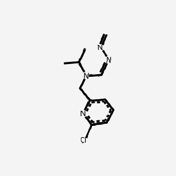 C=N/N=C\N(Cc1cccc(Cl)n1)C(C)C